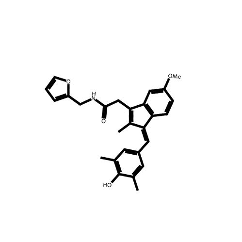 COc1ccc2c(c1)C(CC(=O)NCc1ccco1)=C(C)C2=Cc1cc(C)c(O)c(C)c1